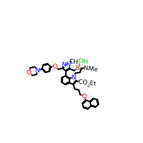 CCOC(=O)c1c(CCCOc2cccc3ccccc23)c2cccc(-c3c(COc4ccc(N5CCOCC5)cc4)nn(C)c3CBr)c2n1CCCNC.Cl